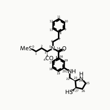 CSCC[C@@H](C(=O)O)N(CCc1ccccc1)C(=O)c1cccc(NC[C@H]2NCC[C@H]2S)c1